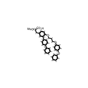 CO[C@@H](Cc1ccc(OCCCOc2ccc(Oc3ccccc3)cc2)c(-c2ccc(-c3ccccc3)cc2)c1)C(=O)O